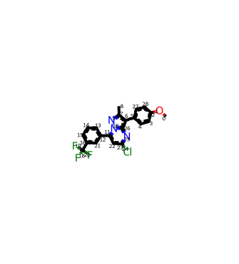 COc1ccc(-c2c(C)nn3c(-c4cccc(C(F)(F)F)c4)cc(Cl)nc23)cc1